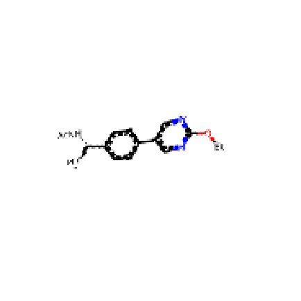 CCOc1ncc(-c2ccc([C@H](C)NC(C)=O)cc2)cn1